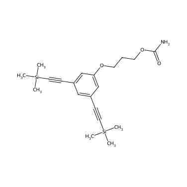 C[Si](C)(C)C#Cc1cc(C#C[Si](C)(C)C)cc(OCCCOC(N)=O)c1